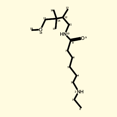 CCNCCCCCC(=O)NCC(C)C(C)(C)COC